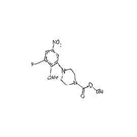 COc1c(F)cc([N+](=O)[O-])cc1N1CCN(C(=O)OC(C)(C)C)CC1